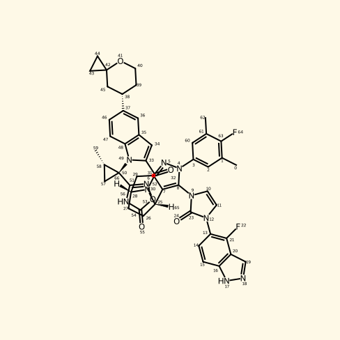 Cc1cc(-n2nc3c(c2-n2ccn(-c4ccc5[nH]ncc5c4F)c2=O)[C@@H]2CC[C@H](C3)N2C(=O)c2cc3cc([C@H]4CCOC5(CC5)C4)ccc3n2[C@@]2(c3noc(=O)[nH]3)C[C@@H]2C)cc(C)c1F